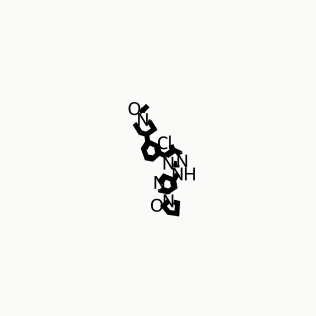 CC(=O)N1CCC(c2cccc(-c3nc(Nc4cncc(N5CCCC5=O)c4)ncc3Cl)c2)CC1